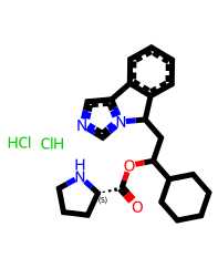 Cl.Cl.O=C(OC(CC1c2ccccc2-c2cncn21)C1CCCCC1)[C@@H]1CCCN1